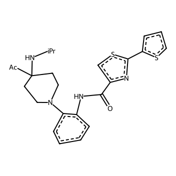 CC(=O)C1(NC(C)C)CCN(c2ccccc2NC(=O)c2csc(-c3cccs3)n2)CC1